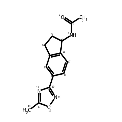 CC(=O)NC1CCc2cc(-c3noc(C)n3)ccc21